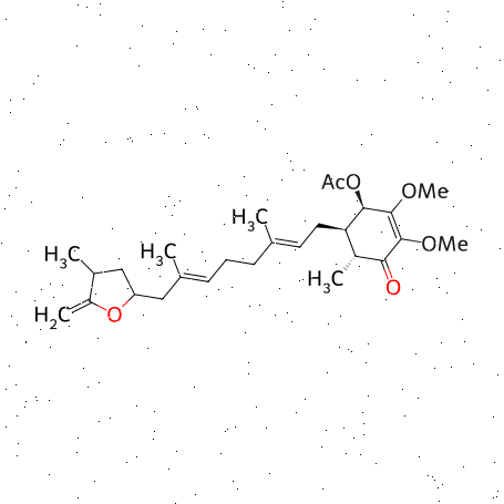 C=C1OC(C/C(C)=C/CC/C(C)=C/C[C@@H]2[C@@H](C)C(=O)C(OC)=C(OC)[C@@H]2OC(C)=O)CC1C